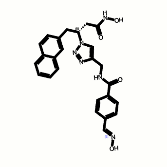 O=C(C[C@@H](Cc1ccc2ccccc2c1)n1cc(CNC(=O)c2ccc(/C=N/O)cc2)nn1)NO